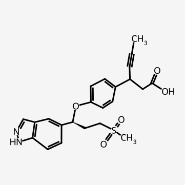 CC#CC(CC(=O)O)c1ccc(O[C@@H](CCS(C)(=O)=O)c2ccc3[nH]ncc3c2)cc1